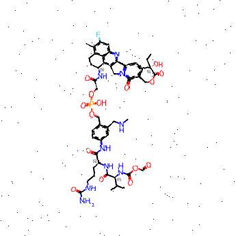 CC[C@@]1(O)C(=O)OCc2c1cc1n(c2=O)Cc2c-1nc1cc(F)c(C)c3c1c2[C@@H](NC(=O)COP(=O)(O)OCc1ccc(NC(=O)[C@H](CCCNC(N)=O)NC(=O)[C@@H](NC(=O)OC=O)C(C)C)cc1CNC)CC3